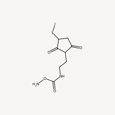 NOC(=O)NCCC1C(=O)CC(SI)C1=O